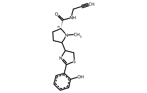 C#CCNC(=O)[C@H]1CCC(C2CSC(c3ccccc3O)=N2)N1C